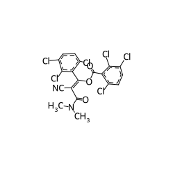 CN(C)C(=O)C(C#N)=C(OC(=O)c1c(Cl)ccc(Cl)c1Cl)c1c(Cl)ccc(Cl)c1Cl